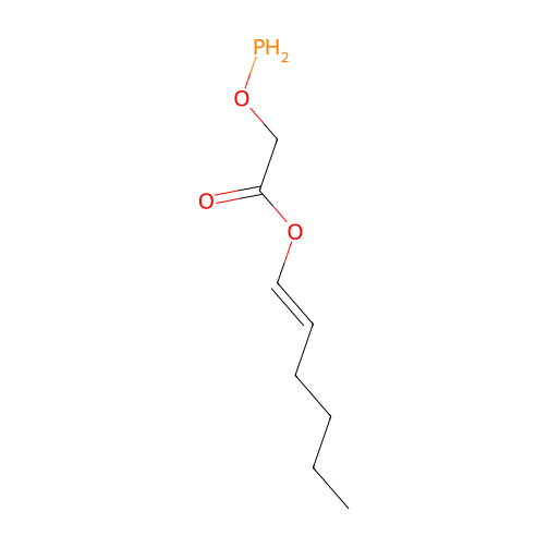 CCCCC=COC(=O)COP